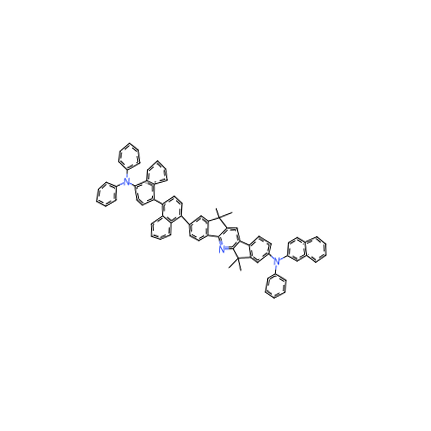 CC1(C)c2cc(-c3ccc(-c4ccc(N(c5ccccc5)c5ccccc5)c5ccccc45)c4ccccc34)ccc2-c2nc3c(cc21)-c1ccc(N(c2ccccc2)c2ccc4ccccc4c2)cc1C3(C)C